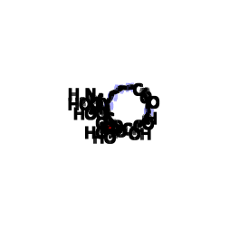 CC1O[C@@H](O[C@H]2/C=C/C=C/C=C/C=C/C[C@@H](C)OC(=O)/C=C/[C@H]3OC3C[C@H](O)C[C@]3(O)C[C@H](O)[C@@H](C(=O)O)[C@H](C2)O3)C(O)C(O)[C@@H]1N